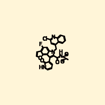 CS(=O)(=O)NC(=O)c1c(-c2ccc[nH]c2=O)c2c3occc3c(F)cc2n1Cc1cc(Cl)nc2ccccc12